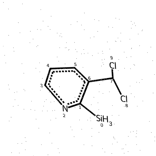 [SiH3]c1ncccc1C(Cl)Cl